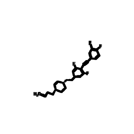 C=CCC[C@H]1CC[C@H](CCc2cc(F)c(C#Cc3ccc(F)c(F)c3)c(F)c2)CC1